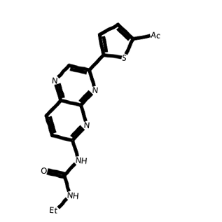 CCNC(=O)Nc1ccc2ncc(-c3ccc(C(C)=O)s3)nc2n1